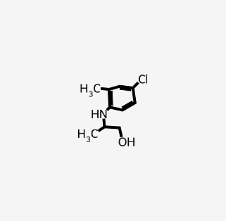 Cc1cc(Cl)ccc1NC(C)CO